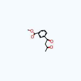 COC(=O)c1cccc(C(=O)CC(C)=O)c1